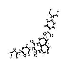 CCN(CC)c1ccc(C(=O)Oc2cc3c4c(cccc4c2)C(=O)N(c2ccc(C4=CCC=C4)cc2)C3=O)cc1